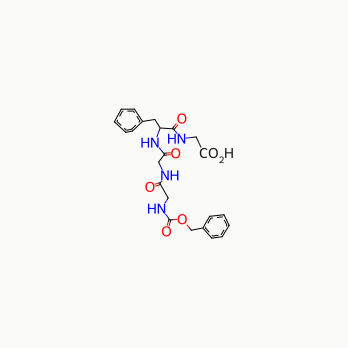 O=C(O)CNC(=O)C(Cc1ccccc1)NC(=O)CNC(=O)CNC(=O)OCc1ccccc1